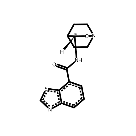 O=C(N[C@H]1CN2CCC1CC2)c1cccc2ncsc12